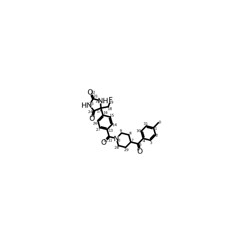 Cc1ccc(C(=O)C2CCN(C(=O)c3ccc(C4(CF)NC(=O)NC4=O)cc3)CC2)cc1